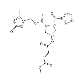 COC(=O)/C=C/C(=O)O[C@@H]1C[C@@H](C(=O)n2ccnn2)N(C(=O)OCc2oc(=O)oc2C)C1